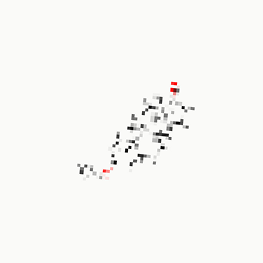 C[C@]12CCC(OS(=O)(=O)O)CC1=CC[C@@H]1[C@@H]2CC[C@]2(C)C(=O)CC[C@@H]12